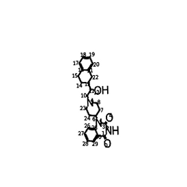 O=c1[nH]c(=O)n(C2CCN(C[C@@H](O)[C@H]3CCc4ccccc4C3)CC2)c2ccccc12